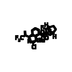 C=C(c1nc(Cl)cc2c(N[C@@H]3C[C@H]4CC[C@@H]([C@@H]3F)N4C(=O)OC(C)(C)C)cccc12)C(F)(F)F